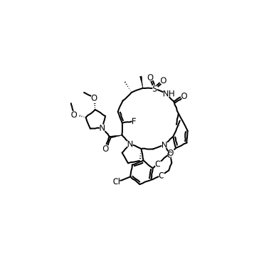 CO[C@H]1CN(C(=O)[C@H]2/C(F)=C/C[C@H](C)[C@@H](C)S(=O)(=O)NC(=O)c3ccc4c(c3)N3CCCCc5cc(Cl)cc(c5CO4)[C@]4(CCCN24)C3)C[C@H]1OC